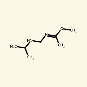 CO/C(C)=N/CNC(C)C